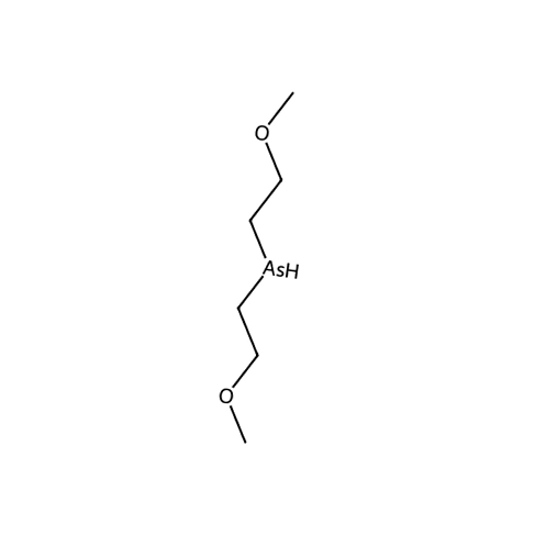 COCC[AsH]CCOC